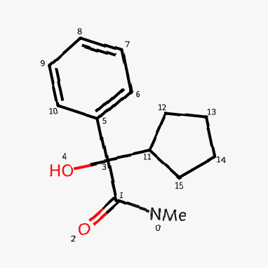 CNC(=O)C(O)(c1ccccc1)C1CCCC1